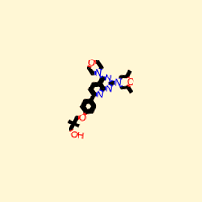 CC1CN(c2nc(N3CCOCC3)c3ccc(-c4ccc(OCC(C)(C)CO)cc4)nc3n2)CC(C)O1